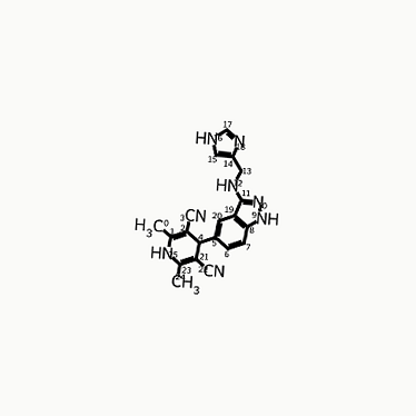 CC1=C(C#N)C(c2ccc3[nH]nc(NCc4c[nH]cn4)c3c2)C(C#N)=C(C)N1